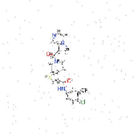 O=C(Nc1ccc(Cl)c(C(F)(F)F)c1)c1csc2c1CCN(C(=O)c1cnn3ccncc13)C2